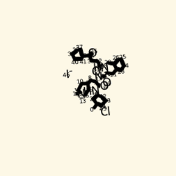 Cc1cc(NC(=O)C(CC2CC[N+](C)(C)CC2)NC(=O)[C@@H]2Cc3ccccc3CN2C(=O)CCC(=O)c2ccccc2)ccc1Cl.[I-]